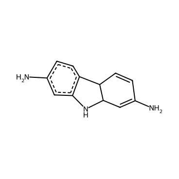 NC1=CC2Nc3cc(N)ccc3C2C=C1